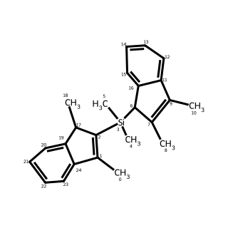 CC1=C([Si](C)(C)C2C(C)=C(C)c3ccccc32)C(C)c2ccccc21